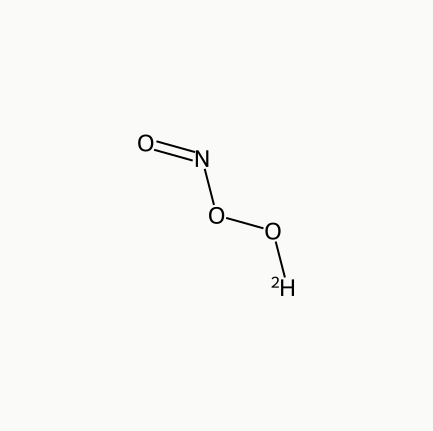 [2H]OON=O